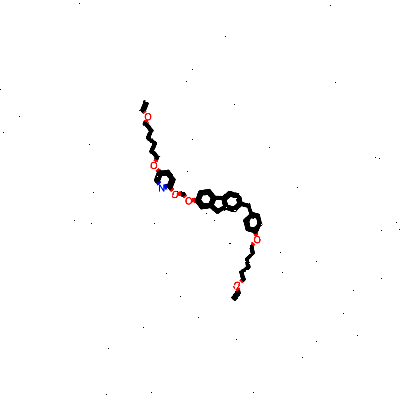 C=COCCCCCCOc1ccc(Cc2ccc3c(c2)Cc2cc(OCOc4ccc(OCCCCCCOC=C)cn4)ccc2-3)cc1